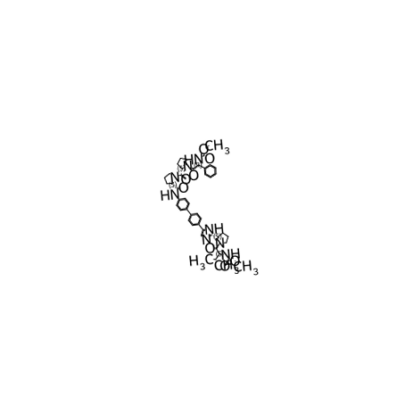 COC(=O)N[C@H](C(=O)N1CCC[C@H]1c1ncc(-c2ccc(-c3ccc(NC(=O)[C@@H]4CCCN4C(=O)[C@@H]4CCCN4C(=O)[C@H](NC(=O)OC)c4ccccc4)cc3)cc2)[nH]1)C(C)C